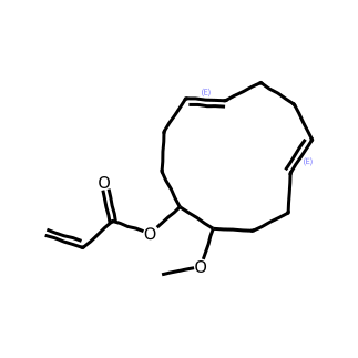 C=CC(=O)OC1CC/C=C/CC/C=C/CCC1OC